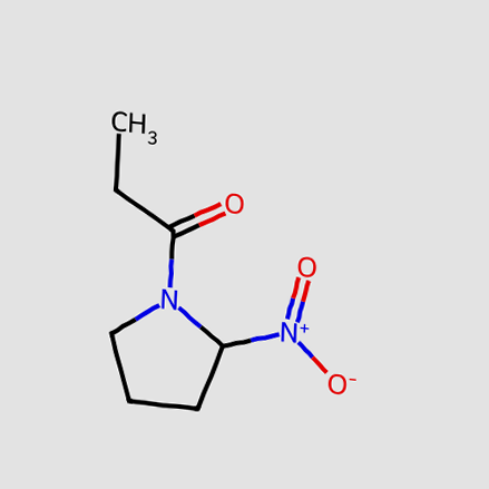 CCC(=O)N1CCCC1[N+](=O)[O-]